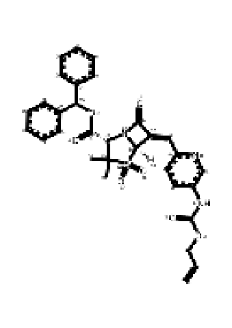 C=CCOC(=O)Nc1ccc(/C=C2/C(=O)N3[C@@H](C(=O)OC(c4ccccc4)c4ccccc4)C(C)(C)S(=O)(=O)[C@H]23)nc1